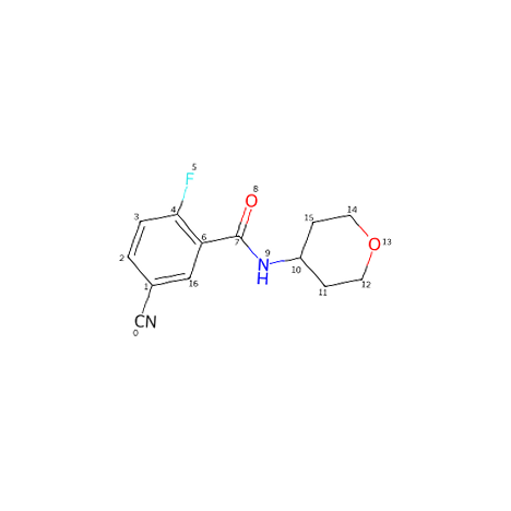 N#Cc1ccc(F)c(C(=O)NC2CCOCC2)c1